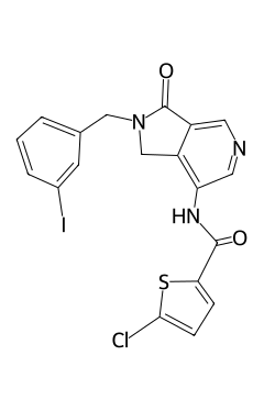 O=C(Nc1cncc2c1CN(Cc1cccc(I)c1)C2=O)c1ccc(Cl)s1